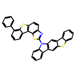 c1ccc(-c2cccc3c2sc2ccc4nc(-n5c6ccccc6c6cc7sc8ccccc8c7cc65)sc4c23)cc1